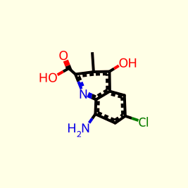 Cc1c(C(=O)O)nc2c(N)cc(Cl)cc2c1O